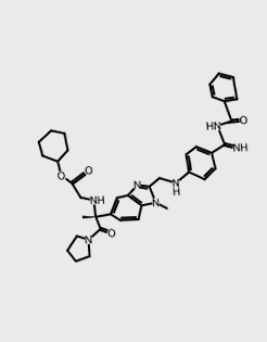 Cn1c(CNc2ccc(C(=N)NC(=O)c3ccccc3)cc2)nc2cc([C@@](C)(NCC(=O)OC3CCCCC3)C(=O)N3CCCC3)ccc21